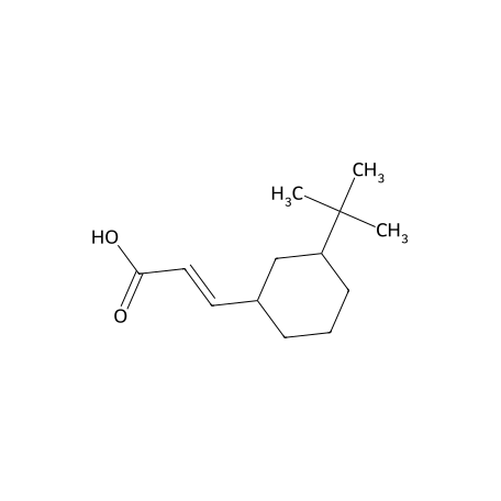 CC(C)(C)C1CCCC(C=CC(=O)O)C1